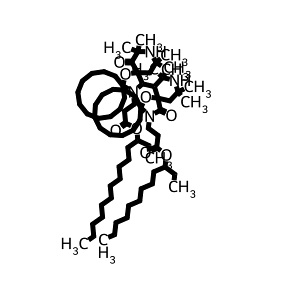 CCCCCCCCCCCC(CC)OC(=O)CCN1C(C2C(C)(C)NC(C)(C)CC23OC2(CCCCCCCCCCC2)N(CCC(=O)OC(CC)CCCCCCCCC)C3=O)C2(CC(C)(C)NC(C)(C)C2=O)OC12CCCCCCCCCCC2